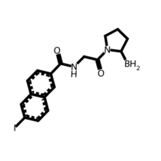 BC1CCCN1C(=O)CNC(=O)c1ccc2cc(I)ccc2c1